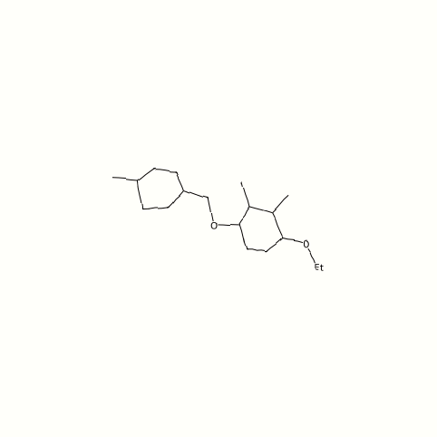 CCOC1CCC(OCC2CCC(C)CC2)C(C)C1C